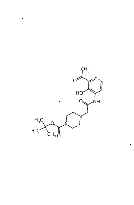 CC(=O)c1cccc(NC(=O)CN2CCN(C(=O)OC(C)(C)C)CC2)c1O